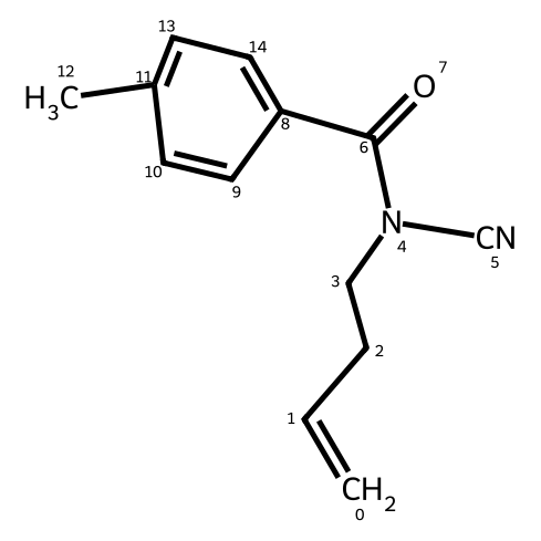 C=CCCN(C#N)C(=O)c1ccc(C)cc1